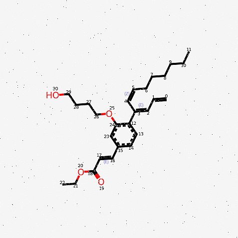 C=C/C=C(\C=C/CCCCCC)c1ccc(/C=C/C(=O)OCC)cc1OCCCCO